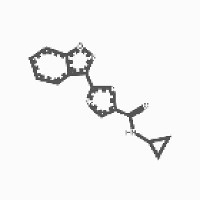 O=C(NC1CC1)c1cnc(-c2noc3ccccc23)s1